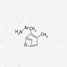 CC(N)=O.Cc1cc2cc(c1C)O2